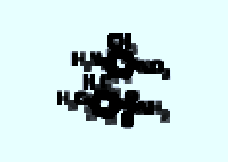 Cc1cc([N+](=O)[O-])cc(C)c1N.Cc1ccc(S(N)(=O)=O)cc1